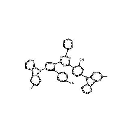 Cc1ccc2c(c1)c1ccccc1n2-c1ccc(-c2nc(-c3ccccc3)nc(-c3ccc(-n4c5ccccc5c5cc(C)ccc54)cc3-c3ccc(C#N)cc3)n2)c(C#N)c1